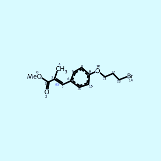 COC(=O)/C(C)=C/c1ccc(OCCCBr)cc1